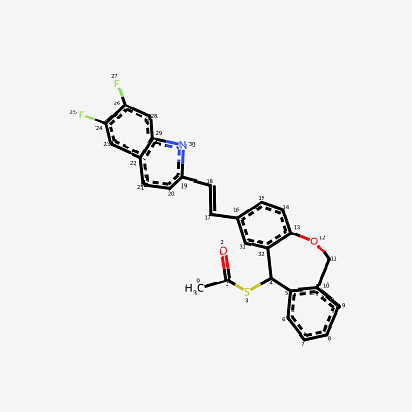 CC(=O)SC1c2ccccc2COc2ccc(C=Cc3ccc4cc(F)c(F)cc4n3)cc21